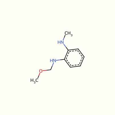 CNc1ccccc1NCOC